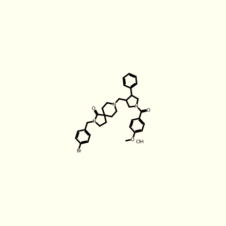 COc1ccc(C(=O)N2CC(CN3CCC4(CC3)CCN(Cc3ccc(Br)cc3)C4=O)C(c3ccccc3)C2)cc1.Cl